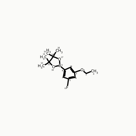 CCOc1cc(F)cc(B2OC(C)(C)C(C)(C)O2)c1